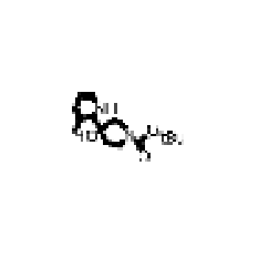 CC1=CC=CNC1C1(O)CCN(C(=O)OC(C)(C)C)CC1